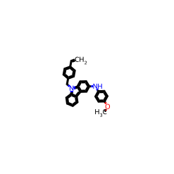 C=Cc1ccc(Cn2c3ccccc3c3cc(Nc4ccc(OC)cc4)ccc32)cc1